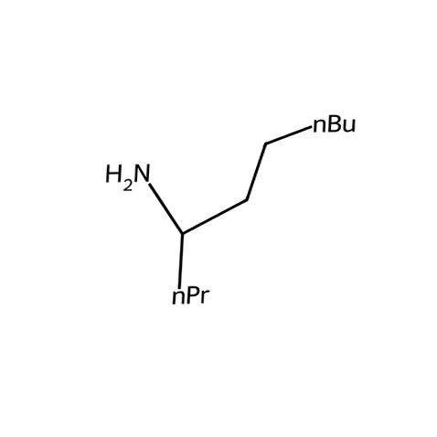 [CH2]CCC(N)CCCCCC